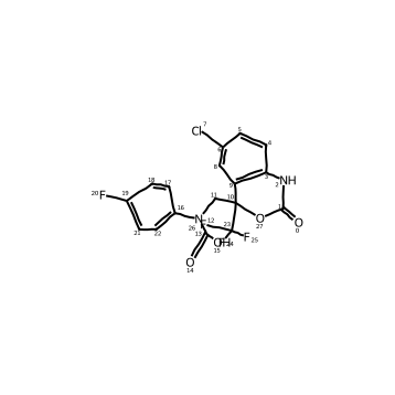 O=C1Nc2ccc(Cl)cc2C(CN(C(=O)O)c2ccc(F)cc2)(C(F)(F)F)O1